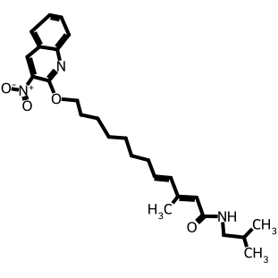 CC(/C=C/CCCCCCCOc1nc2ccccc2cc1[N+](=O)[O-])=C\C(=O)NCC(C)C